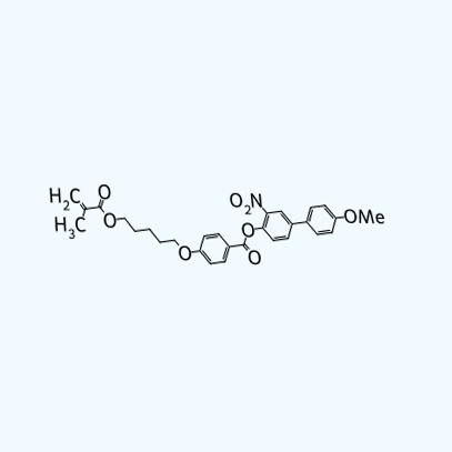 C=C(C)C(=O)OCCCCCOc1ccc(C(=O)Oc2ccc(-c3ccc(OC)cc3)cc2[N+](=O)[O-])cc1